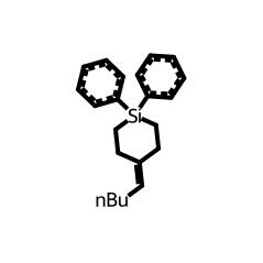 CCCCC=C1CC[Si](c2ccccc2)(c2ccccc2)CC1